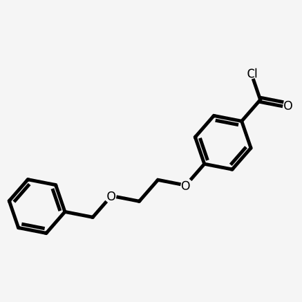 O=C(Cl)c1ccc(OCCOCc2ccccc2)cc1